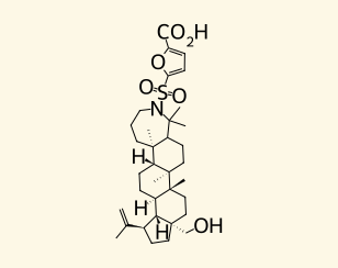 C=C(C)[C@@H]1CC[C@]2(CO)CC[C@]3(C)[C@H](CC[C@@H]4[C@@]5(C)CCCN(S(=O)(=O)c6ccc(C(=O)O)o6)C(C)(C)C5CC[C@]43C)[C@@H]12